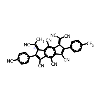 C/C(C#N)=C1/C(c2ccc(C#N)cc2)=C(C#N)c2c(C#N)c3c(c(C#N)c21)C(=C(C#N)C#N)C(c1ccc(C(F)(F)F)cc1)=C3C#N